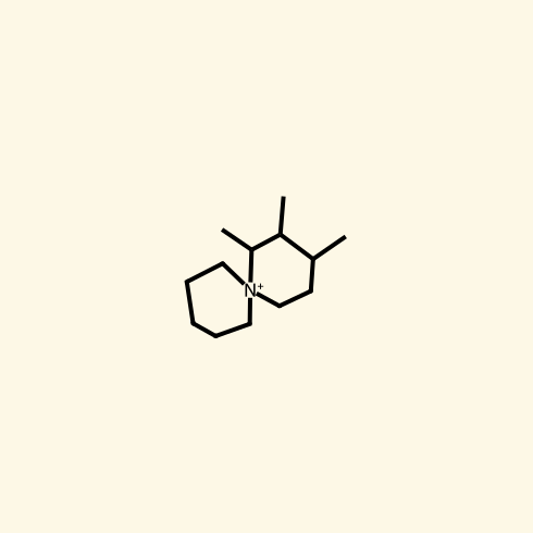 CC1CC[N+]2(CCCCC2)C(C)C1C